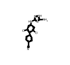 N#Cc1ccc(-c2c(Cl)cc(Nc3n[nH]c(N)n3)cc2Cl)cc1